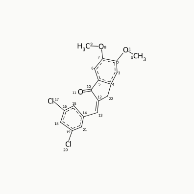 COc1cc2c(cc1OC)C(=O)C(=Cc1cc(Cl)cc(Cl)c1)C2